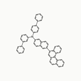 c1ccc(-c2ccc(N(c3cccc(-c4ccccc4)c3)c3ccc4cc(-c5cc6ccc7ccccc7c6c6ccccc56)ccc4c3)cc2)cc1